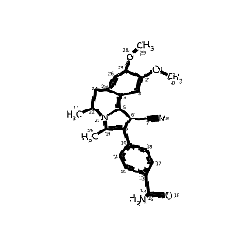 COC1=CC2=C3C(C#N)C(c4ccc(C(N)=O)cc4)=C(C)N3C(C)CC2=CC1OC